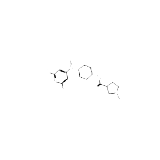 CN1CCC(C(=O)N[C@H]2CC[C@@H](N(C)c3cc(C(F)(F)F)nc(C(F)(F)F)c3)CC2)C1